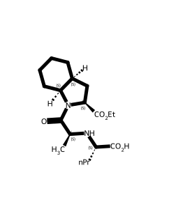 CCC[C@H](N[C@@H](C)C(=O)N1[C@H](C(=O)OCC)C[C@@H]2CCCC[C@@H]21)C(=O)O